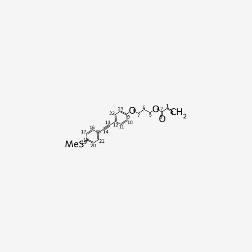 C=CC(=O)OCCCOc1ccc(C#Cc2ccc(SC)cc2)cc1